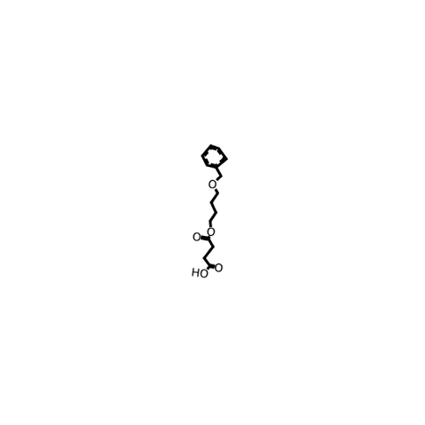 O=C(O)CCC(=O)OCCCCOCc1ccccc1